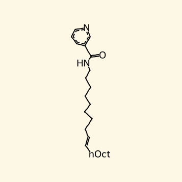 CCCCCCCCC=CCCCCCCCCNC(=O)c1cccnc1